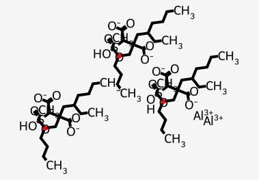 CCCCC(CC)CC(CC(CC)CCCC)(C(=O)[O-])C(C(=O)[O-])S(=O)(=O)O.CCCCC(CC)CC(CC(CC)CCCC)(C(=O)[O-])C(C(=O)[O-])S(=O)(=O)O.CCCCC(CC)CC(CC(CC)CCCC)(C(=O)[O-])C(C(=O)[O-])S(=O)(=O)O.[Al+3].[Al+3]